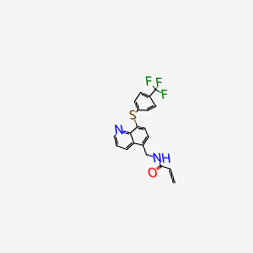 C=CC(=O)NCc1ccc(Sc2ccc(C(F)(F)F)cc2)c2ncccc12